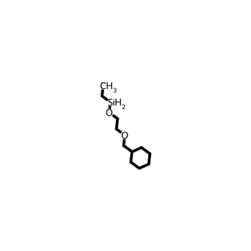 CC[SiH2]OCCOCC1CCCCC1